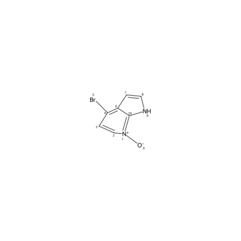 [O-][n+]1ccc(Br)c2cc[nH]c21